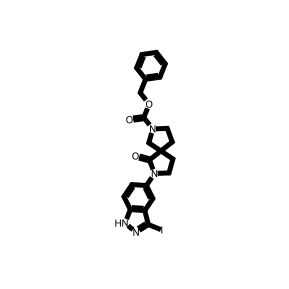 O=C(OCc1ccccc1)N1CCC2(CCN(c3ccc4[nH]nc(I)c4c3)C2=O)C1